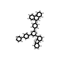 c1cncc(-c2ccc(-c3cc(-c4cccc5c4oc4ccccc45)nc(-c4ccc(-c5cc6ccccc6c6ccccc56)cc4)n3)cc2)c1